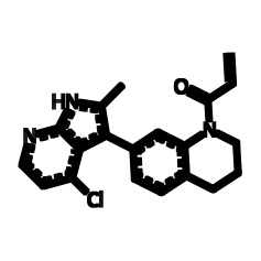 C=CC(=O)N1CCCc2ccc(-c3c(C)[nH]c4nccc(Cl)c34)cc21